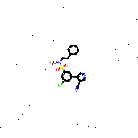 CN(CCc1ccccc1)S(=O)(=O)c1cc(Cl)cc(-c2c[nH]cc2C#N)c1